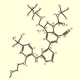 COCCOc1nc(C(F)(F)F)ccc1Nc1nccc(-c2cc(C#N)c3c(c2)[C@@](C)(CO[Si](C)(C)C(C)(C)C)CN3C(=O)OC(C)(C)C)n1